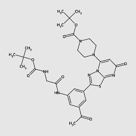 CC(=O)c1cc(NC(=O)CNC(=O)OC(C)(C)C)cc(-c2nn3c(N4CCN(C(=O)OC(C)(C)C)CC4)cc(=O)nc3s2)c1